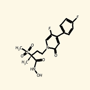 C[C@@](CCn1cc(F)c(-c2ccc(F)cc2)cc1=O)(C(=O)NO)S(C)(=O)=O